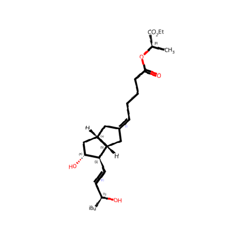 CCOC(=O)[C@@H](C)OC(=O)CCC/C=C1\C[C@H]2C[C@@H](O)[C@H](/C=C/[C@@H](O)C(C)CC)[C@H]2C1